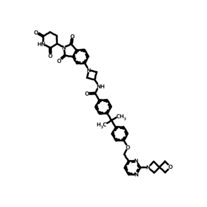 CC(C)(c1ccc(OCc2ccnc(N3CC4(COC4)C3)n2)cc1)c1ccc(C(=O)NC2CN(c3ccc4c(c3)C(=O)N(C3CCC(=O)NC3=O)C4=O)C2)cc1